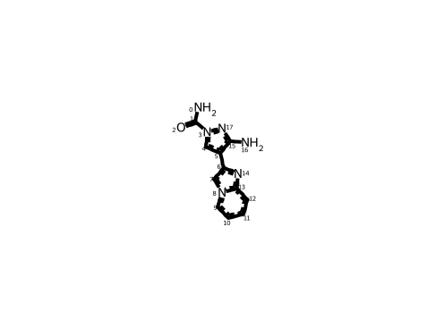 NC(=O)n1cc(-c2cn3ccccc3n2)c(N)n1